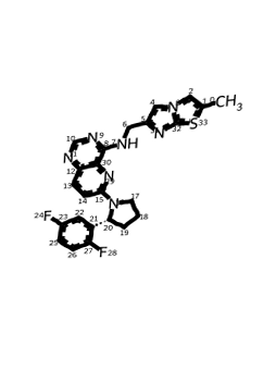 Cc1cn2cc(CNc3ncnc4ccc(N5CCC[C@@H]5c5cc(F)ccc5F)nc34)nc2s1